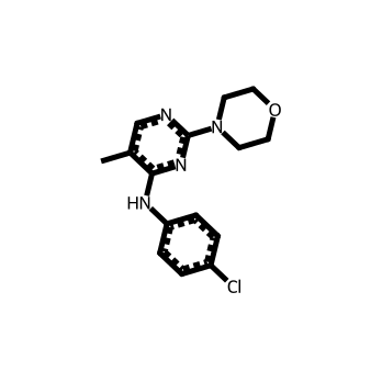 Cc1cnc(N2CCOCC2)nc1Nc1ccc(Cl)cc1